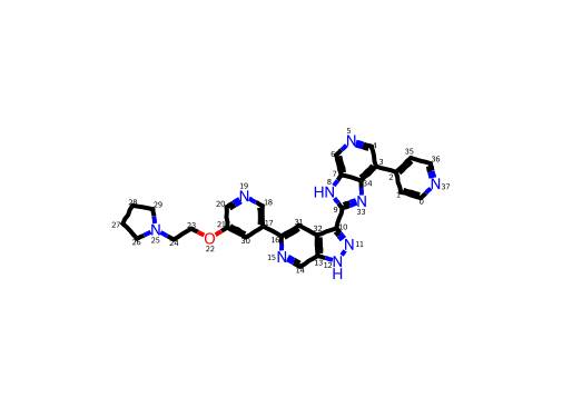 c1cc(-c2cncc3[nH]c(-c4n[nH]c5cnc(-c6cncc(OCCN7CCCC7)c6)cc45)nc23)ccn1